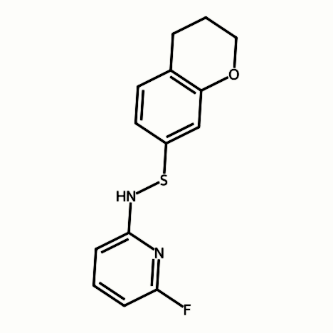 Fc1cccc(NSc2ccc3c(c2)OCCC3)n1